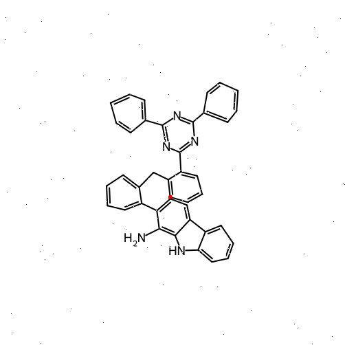 Nc1c(-c2ccccc2Cc2ccccc2-c2nc(-c3ccccc3)nc(-c3ccccc3)n2)ccc2c1[nH]c1ccccc12